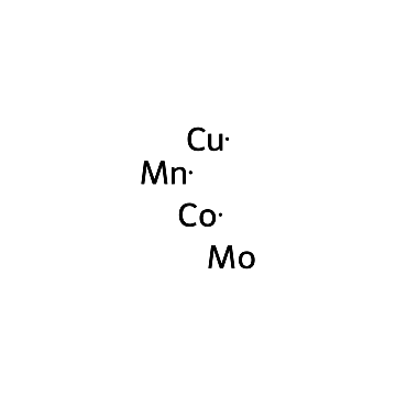 [Co].[Cu].[Mn].[Mo]